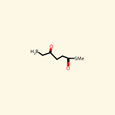 BCC(=O)CCC(=O)SC